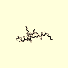 CCCCO[C@H](C)CC(=O)N[C@@H](CO)CCCNC(=O)[C@@H](NC(=O)C[C@@H](C)OC(C)=O)OP(=O)(OCCCC)OCCCC